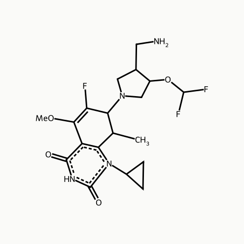 COC1=C(F)C(N2CC(CN)C(OC(F)F)C2)C(C)c2c1c(=O)[nH]c(=O)n2C1CC1